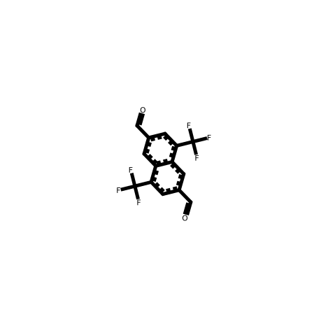 O=Cc1cc(C(F)(F)F)c2cc(C=O)cc(C(F)(F)F)c2c1